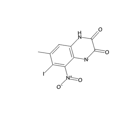 Cc1cc2c(c([N+](=O)[O-])c1I)[N]C(=O)C(=O)N2